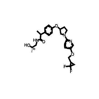 CC(C(=O)NC[C@H](C)O)c1ccc(OC2CCN(c3ccc(OCC4CC4(F)F)cn3)C2)cc1